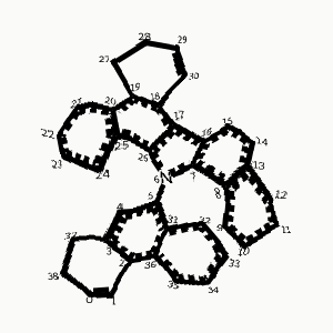 C1=Cc2c(cc(-n3c4c5ccccc5ccc4c4c5c(c6ccccc6c43)CCC=C5)c3ccccc23)CC1